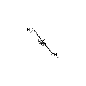 CCCCCCCCCCCCN(CCCCCCCCCCCC)C(=S)S.S